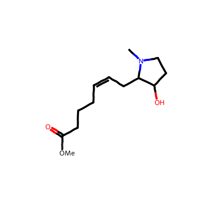 COC(=O)CCC/C=C\CC1C(O)CCN1C